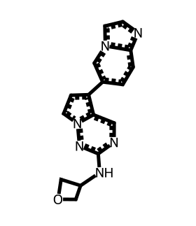 c1cn2cc(-c3ccn4nc(NC5COC5)ncc34)ccc2n1